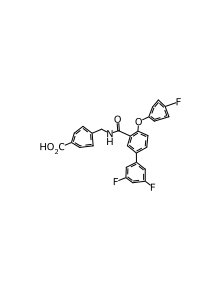 O=C(O)c1ccc(CNC(=O)c2cc(-c3cc(F)cc(F)c3)ccc2Oc2ccc(F)cc2)cc1